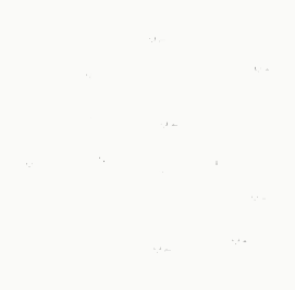 COc1cc(OC)c(/C=C/S(=O)(=O)Nc2ccc(OC)c(N/C=C/C(=O)c3cc(OC)c(OC)c(OC)c3Br)c2)c(OC)c1